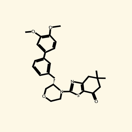 COc1ccc(-c2cccc(C[C@H]3COCCN3c3nc4c(s3)C(=O)CC(C)(C)C4)c2)cc1OC